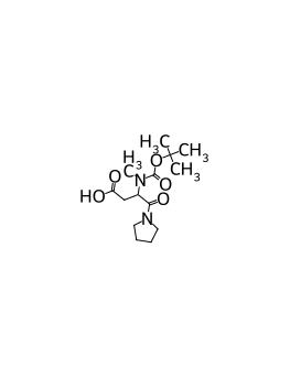 CN(C(=O)OC(C)(C)C)C(CC(=O)O)C(=O)N1CCCC1